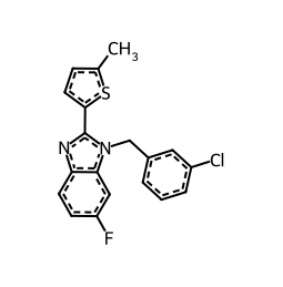 Cc1ccc(-c2nc3ccc(F)cc3n2Cc2cccc(Cl)c2)s1